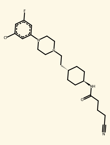 N#CCCCC(=O)N[C@H]1CC[C@H](CCN2CCN(c3cc(F)cc(Cl)c3)CC2)CC1